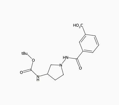 CC(C)(C)OC(=O)NC1CCN(NC(=O)c2cccc(C(=O)O)c2)C1